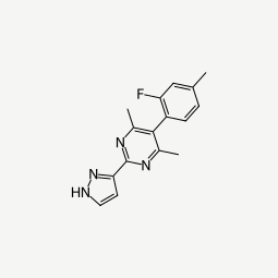 Cc1ccc(-c2c(C)nc(-c3cc[nH]n3)nc2C)c(F)c1